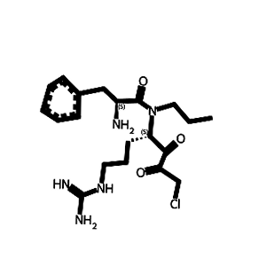 CCCN(C(=O)[C@@H](N)Cc1ccccc1)[C@@H](CCCNC(=N)N)C(=O)C(=O)CCl